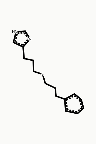 c1ccc(CCCSCCCc2c[nH]cn2)cc1